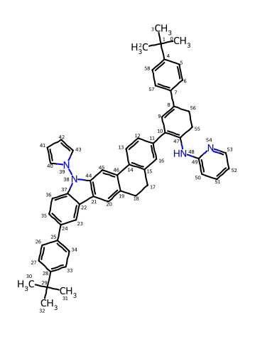 CC(C)(C)c1ccc(C2=CC(c3ccc4c(c3)CCc3cc5c6cc(-c7ccc(C(C)(C)C)cc7)ccc6n(-n6cccc6)c5cc3-4)=C(Nc3ccccn3)CC2)cc1